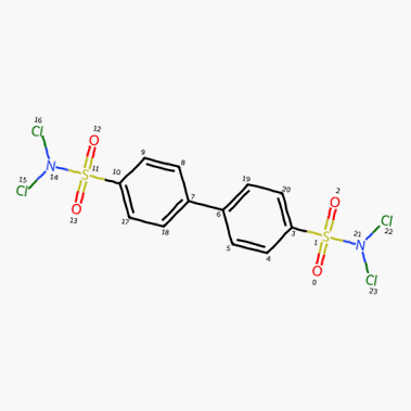 O=S(=O)(c1ccc(-c2ccc(S(=O)(=O)N(Cl)Cl)cc2)cc1)N(Cl)Cl